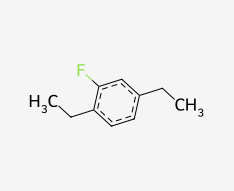 CCc1ccc(CC)c(F)c1